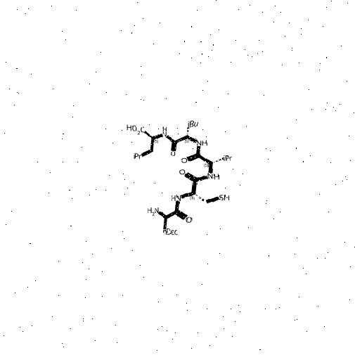 CCCCCCCCCCC(N)C(=O)N[C@@H](CS)C(=O)N[C@H](C(=O)N[C@H](C(=O)N[C@@H](CC(C)C)C(=O)O)C(C)CC)C(C)C